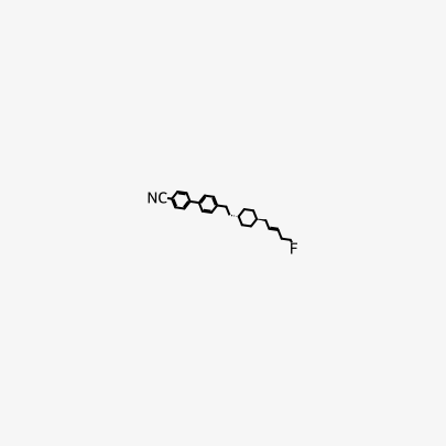 N#Cc1ccc(-c2ccc(CC[C@H]3CC[C@H](CC=CCCF)CC3)cc2)cc1